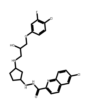 O=C(NNC1CCC(NCC(O)COc2ccc(Cl)c(F)c2)C1)c1ccc2cc(Cl)ccc2n1